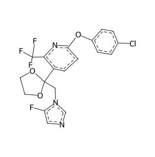 Fc1cncn1CC1(c2ccc(Oc3ccc(Cl)cc3)nc2C(F)(F)F)OCCO1